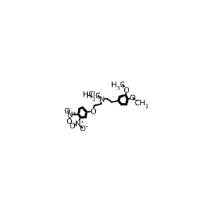 COc1ccc(CCN(C)CCOc2ccc([N+](=O)[O-])c([N+](=O)[O-])c2)cc1OC.Cl